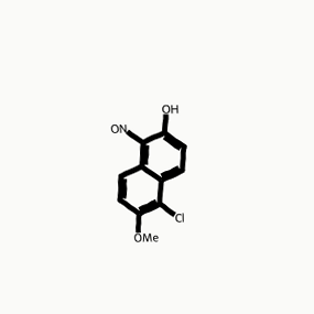 COc1ccc2c(N=O)c(O)ccc2c1Cl